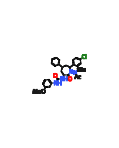 COc1cccc(NC(=O)NC2CC(c3ccccc3)CC(c3ccc(Cl)cc3)N(N(C(C)=O)C(C)(C)C)C2=O)c1